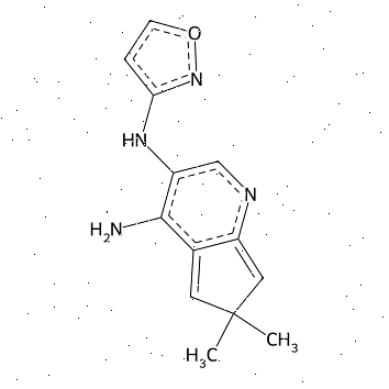 CC1(C)C=c2ncc(Nc3ccon3)c(N)c2=C1